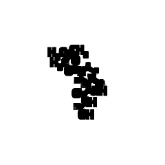 CC(C)(C)OC(=O)N1CCc2n[nH]c(C(=O)NCO)c2C1